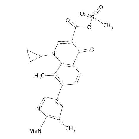 CNc1ncc(-c2ccc3c(=O)c(C(=O)OS(C)(=O)=O)cn(C4CC4)c3c2C)cc1C